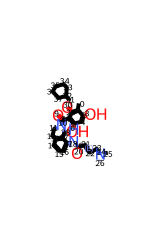 Cc1c(O)cc(O)c(C(=O)N2CCc3cccc(NC(=O)/C=C/CN(C)C)c3C2)c1OCC1CCCCC1